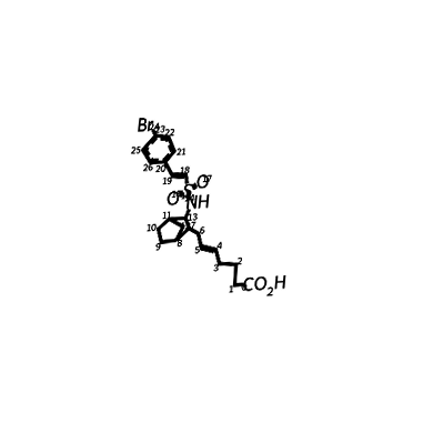 O=C(O)CCCC=CCC1C2CCC(C2)C1NS(=O)(=O)C=Cc1ccc(Br)cc1